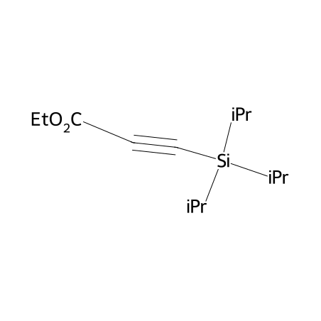 CCOC(=O)C#C[Si](C(C)C)(C(C)C)C(C)C